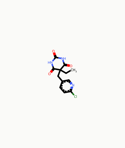 CCC1(Cc2ccc(Cl)nc2)C(=O)NC(=O)NC1=O